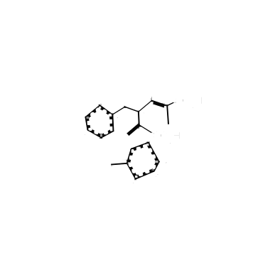 C=C(C(=O)O)C(C=C(C)C(=O)O)Cc1ccccc1.Cc1ccccc1